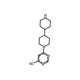 N#Cc1cc(N2CCC(C3CCNCC3)CC2)ncn1